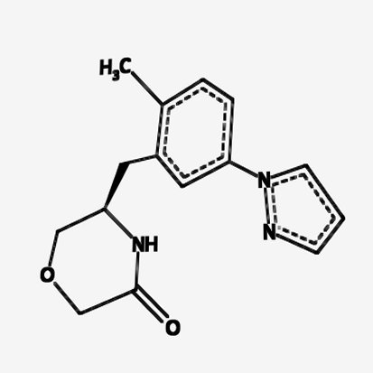 Cc1ccc(-n2cccn2)cc1C[C@@H]1COCC(=O)N1